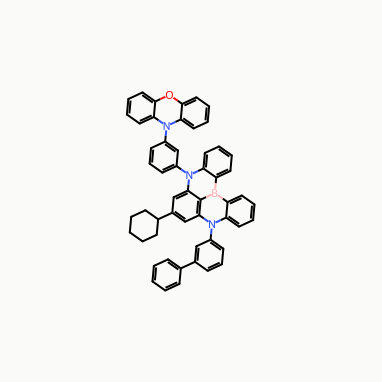 c1ccc(-c2cccc(N3c4ccccc4B4c5ccccc5N(c5cccc(N6c7ccccc7Oc7ccccc76)c5)c5cc(C6CCCCC6)cc3c54)c2)cc1